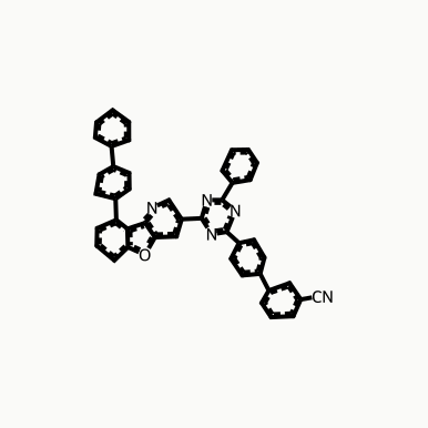 N#Cc1cccc(-c2ccc(-c3nc(-c4ccccc4)nc(-c4cnc5c(c4)oc4cccc(-c6ccc(-c7ccccc7)cc6)c45)n3)cc2)c1